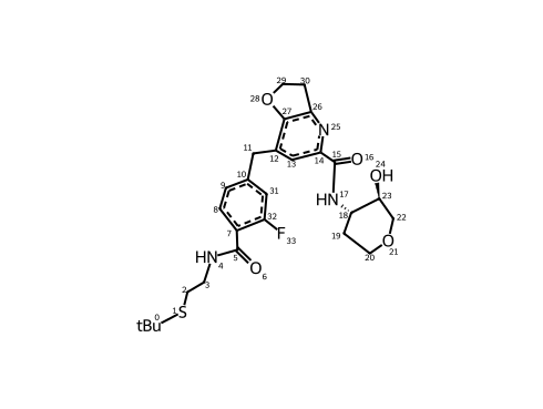 CC(C)(C)SCCNC(=O)c1ccc(Cc2cc(C(=O)N[C@H]3CCOC[C@@H]3O)nc3c2OCC3)cc1F